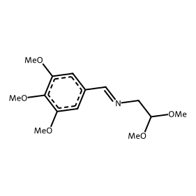 COc1cc(C=NCC(OC)OC)cc(OC)c1OC